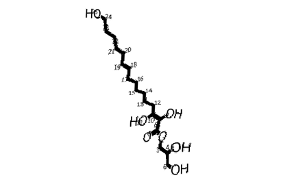 O=C(OCC(O)CO)C(O)C(O)CCCCCCCCCCCCCO